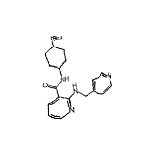 CC(C)(C)C1CCC(NC(=O)c2cccnc2NCc2ccncc2)CC1